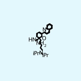 CC(C)N(CCCCCC1(C(=N)N)C=CC=C(c2ccc3ccccc3n2)C1=O)C(C)C